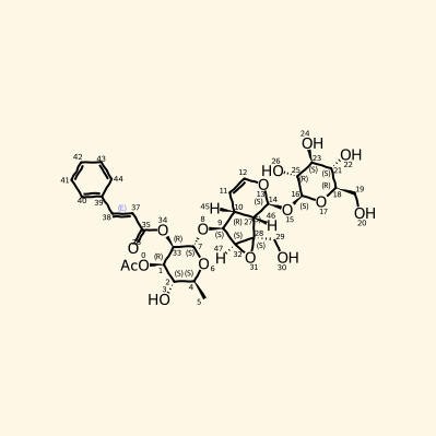 CC(=O)O[C@@H]1[C@@H](O)[C@H](C)O[C@@H](O[C@H]2[C@@H]3C=CO[C@@H](O[C@@H]4O[C@H](CO)[C@@H](O)[C@H](O)[C@H]4O)[C@@H]3[C@@]3(CO)O[C@@H]23)[C@@H]1OC(=O)/C=C/c1ccccc1